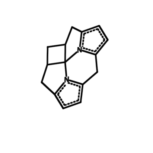 c1cc2n3c1Cc1ccc4n1C31C(C2)CC1C4